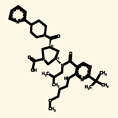 COCCCNc1nc(C(C)(C)C)ncc1C(=O)N(CC(C)C)[C@H]1C[C@@H](C(=O)N2CCC(c3ccccn3)CC2)CN(C(=O)O)C1